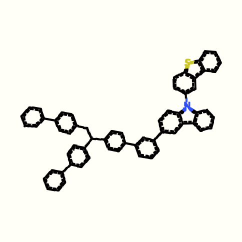 c1ccc(-c2ccc(CC(c3ccc(-c4ccccc4)cc3)c3ccc(-c4cccc(-c5ccc6c(c5)c5ccccc5n6-c5ccc6sc7ccccc7c6c5)c4)cc3)cc2)cc1